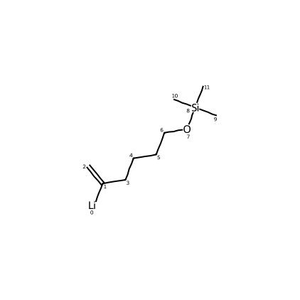 [Li][C](=C)CCCCO[Si](C)(C)C